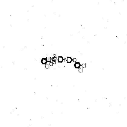 O=C(NS(=O)(=O)N1CCC(N2CCC(Oc3ccc(Cl)c(Cl)c3)CC2)CC1)c1ccccc1Cl